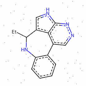 CCC1Nc2ccccc2-c2cnnc3[nH]cc1c23